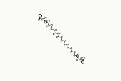 C(CCCCCCCCCOCC1CO1)CCCCCCCCOCC1CO1